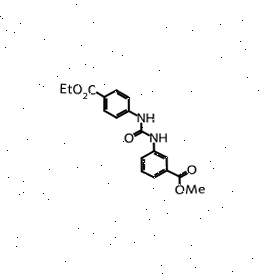 CCOC(=O)c1ccc(NC(=O)Nc2cccc(C(=O)OC)c2)cc1